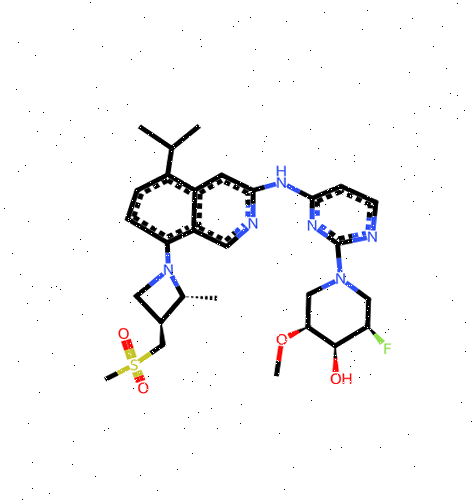 CO[C@H]1CN(c2nccc(Nc3cc4c(C(C)C)ccc(N5C[C@H](CS(C)(=O)=O)[C@H]5C)c4cn3)n2)C[C@@H](F)[C@H]1O